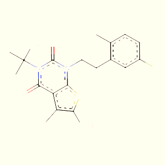 CCOC(=O)c1sc2c(c1C)c(=O)n(C(C)(C)C(=O)O)c(=O)n2CCc1cc(F)ccc1C